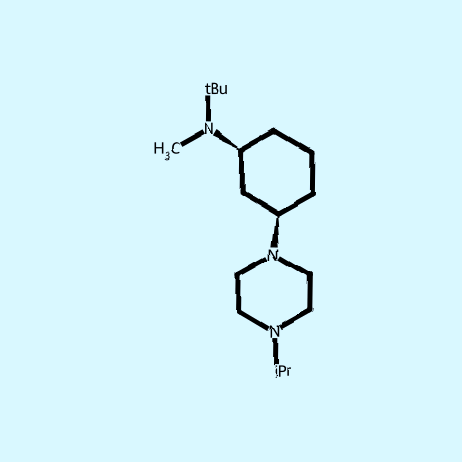 CC(C)N1CCN([C@@H]2CCC[C@H](N(C)C(C)(C)C)C2)CC1